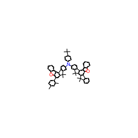 Cc1ccc(-c2cc3c(c4c2oc2ccccc24)-c2ccc(N(c4ccc(C(C)(C)C)cc4)c4ccc5c(c4)C(C)(C)c4c6c(c7oc8ccccc8c7c4-5)-c4ccccc4C6(C)C)cc2C3(C)C)c(C)c1